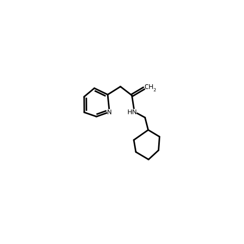 C=C(Cc1ccccn1)NCC1CCCCC1